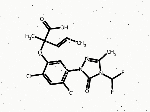 CC=CC(C)(Oc1cc(-n2nc(C)n(C(F)F)c2=O)c(Cl)cc1Cl)C(=O)O